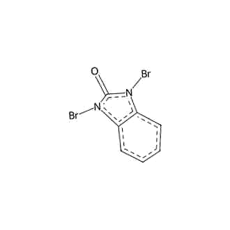 O=c1n(Br)c2ccccc2n1Br